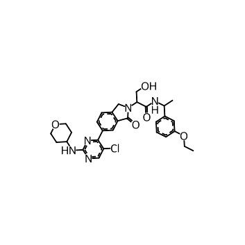 CCOc1cccc(C(C)NC(=O)C(CO)N2Cc3ccc(-c4nc(NC5CCOCC5)ncc4Cl)cc3C2=O)c1